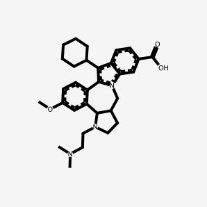 COc1ccc2c(c1)C1C(CCN1CCN(C)C)Cn1c-2c(C2CCCCC2)c2ccc(C(=O)O)cc21